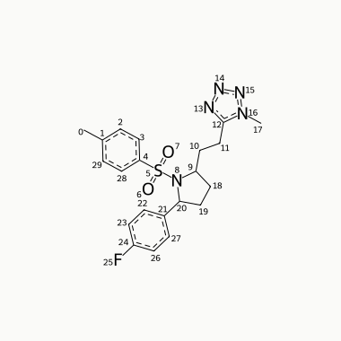 Cc1ccc(S(=O)(=O)N2C(CCc3nnnn3C)CCC2c2ccc(F)cc2)cc1